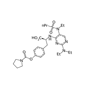 CCCS(=O)(=O)N(CC)c1cnc(N(CC)CC)nc1N[C@@H](Cc1ccc(OC(=O)N2CCCC2)cc1)C(=O)O